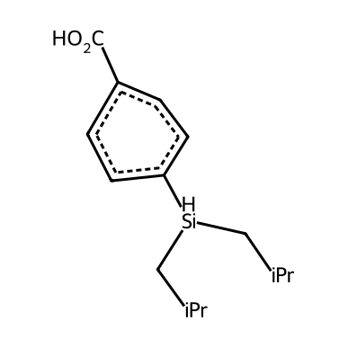 CC(C)C[SiH](CC(C)C)c1ccc(C(=O)O)cc1